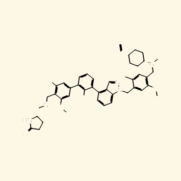 C=C[C@H]1CC[C@H](N(C)Cc2cc(Cl)c(Cn3ncc4c(-c5cccc(-c6cc(F)c(CNC[C@@H]7CCC(=O)N7)c(OC)c6)c5Cl)cccc43)cc2OC)CC1